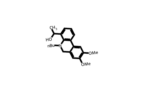 CCCCN1Cc2cc(OC)c(OC)cc2-c2cccc(C(C)O)c21